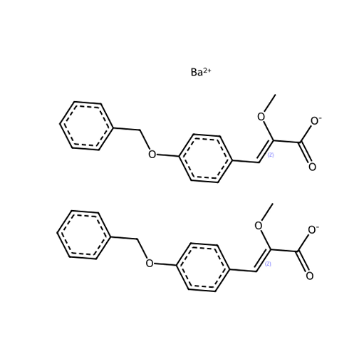 CO/C(=C\c1ccc(OCc2ccccc2)cc1)C(=O)[O-].CO/C(=C\c1ccc(OCc2ccccc2)cc1)C(=O)[O-].[Ba+2]